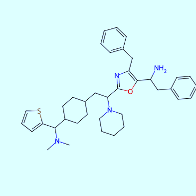 CN(C)C(c1cccs1)C1CCC(CC(c2nc(Cc3ccccc3)c(C(N)Cc3ccccc3)o2)N2CCCCC2)CC1